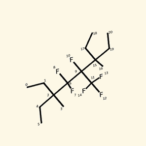 CCC(C)(CC)C(F)(F)C(F)(C(F)(F)F)C(C)(CC)CC